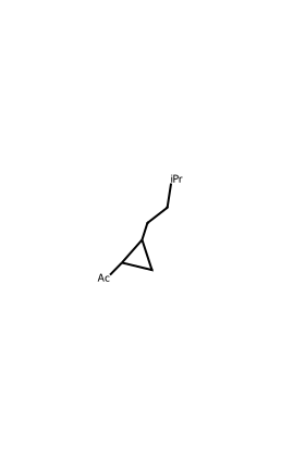 CC(=O)C1CC1CCC(C)C